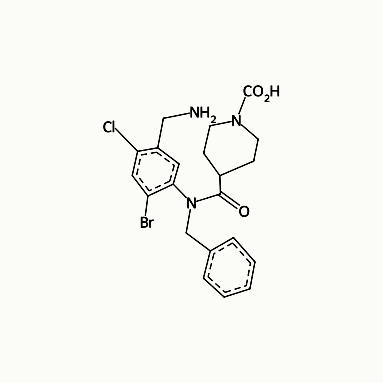 NCc1cc(N(Cc2ccccc2)C(=O)C2CCN(C(=O)O)CC2)c(Br)cc1Cl